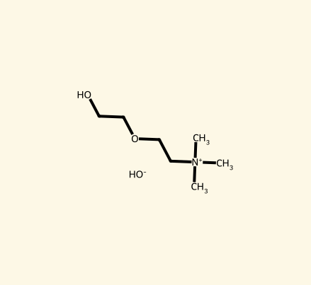 C[N+](C)(C)CCOCCO.[OH-]